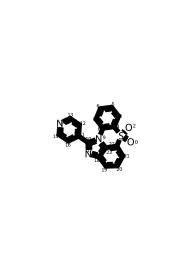 O=S1(=O)c2ccccc2-n2c(-c3ccncc3)nc3cccc1c32